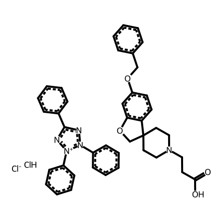 Cl.O=C(O)CCN1CCC2(CC1)COc1cc(OCc3ccccc3)ccc12.[Cl-].c1ccc(-c2nn(-c3ccccc3)[n+](-c3ccccc3)n2)cc1